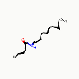 CCC=CC(=O)NCCCCCCCCCCCCCC